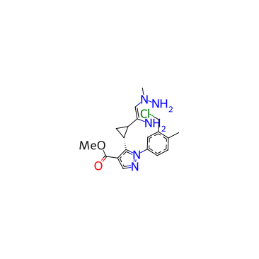 COC(=O)c1cnn(-c2ccc(C)c(CCl)c2)c1[C@@H]1CC1/C(N)=C/N(C)N